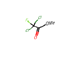 COC(=O)C(F)(Cl)Cl